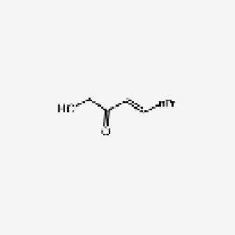 CCCC=CC(=O)CO